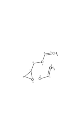 C=CCl.C=COCC1CO1